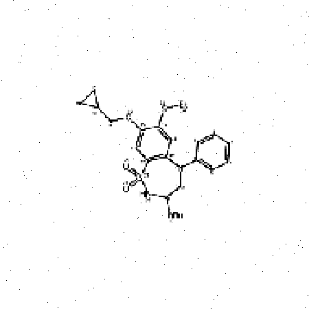 CCCCC1CN(c2ccccc2)c2cc(SCC)c(OCC3CC3)cc2S(=O)(=O)N1